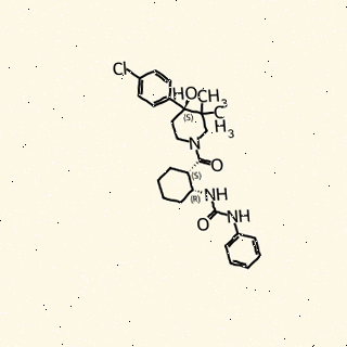 CC1(C)CN(C(=O)[C@H]2CCCC[C@H]2NC(=O)Nc2ccccc2)CC[C@]1(O)c1ccc(Cl)cc1